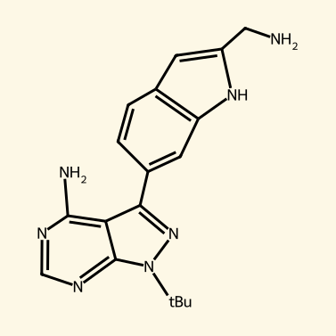 CC(C)(C)n1nc(-c2ccc3cc(CN)[nH]c3c2)c2c(N)ncnc21